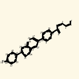 C=C(/C=C\C=C/C)c1ccc(C(/C=c2/ccc(-c3ccc(F)cc3)cc2=C)=C/C)cc1